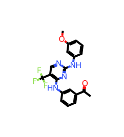 COc1cccc(Nc2ncc(C(F)(F)F)c(Nc3cccc(C(C)=O)c3)n2)c1